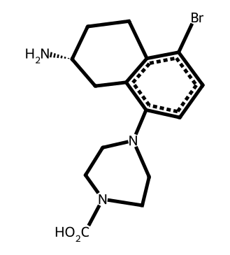 N[C@@H]1CCc2c(Br)ccc(N3CCN(C(=O)O)CC3)c2C1